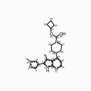 Cc1c(-c2cnn(C)c2)[nH]c2nccc(N3CCN(C(O)OC4CCC4)CC3)c12